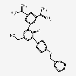 C=C(C)c1cc(C(=C)C)cc(-c2cn(CC#N)cc(-c3ccc(OCc4ccccc4)cc3)c2=S)c1